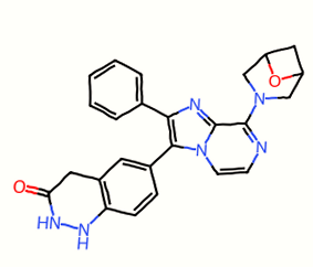 O=C1Cc2cc(-c3c(-c4ccccc4)nc4c(N5CC6CC(C5)O6)nccn34)ccc2NN1